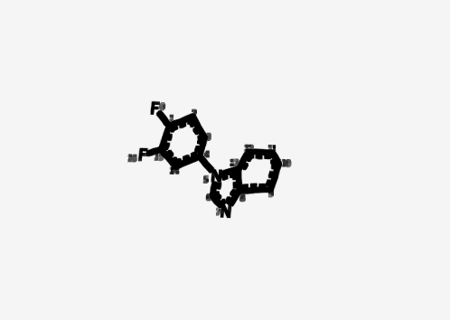 Fc1ccc(-n2cnc3c[c]ccc32)cc1F